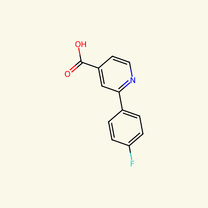 O=C(O)c1ccnc(-c2ccc(F)cc2)c1